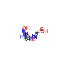 C[C@H](O)CN1CCc2c(nc(C(=O)Nc3cccc(-c4cccc(NC(=O)c5nc6c(n5C)CCN(CC5CCC(C(=O)O)CC5)C6)c4Cl)c3Cl)n2C)C1